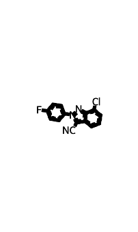 N#Cc1c2cccc(Cl)c2nn1-c1ccc(F)cc1